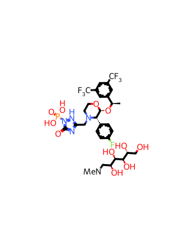 CNC[C@H](O)[C@@H](O)[C@H](O)[C@H](O)CO.C[C@@H](O[C@H]1OCCN(Cc2nc(=O)n(P(=O)(O)O)[nH]2)[C@H]1c1ccc(F)cc1)c1cc(C(F)(F)F)cc(C(F)(F)F)c1